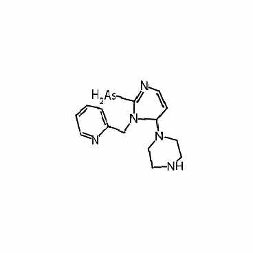 [AsH2]C1=NC=CC(N2CCNCC2)N1Cc1ccccn1